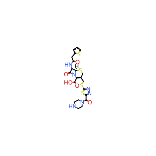 O=C(Cc1cccs1)NC1C(=O)N2C(C(=O)O)=C(CSc3nnc(C(=O)N4CCNCC4)s3)CS[C@H]12